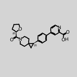 O=C(O)c1cc(-c2ccc([C@H]3CC34CCN(C(=O)[C@H]3CCCO3)CC4)cc2)ccn1